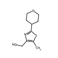 Cc1sc(C2CCOCC2)nc1CO